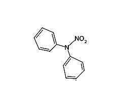 O=[N+]([O-])N(c1cc[c]cc1)c1ccccc1